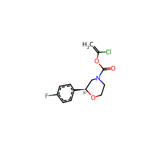 C=C(Cl)OC(=O)N1CCO[C@@H](c2ccc(F)cc2)C1